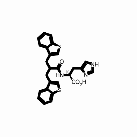 O=C(N[C@@H](Cc1c[nH]cn1)C(=O)O)C(Cc1csc2ccccc12)Cc1csc2ccccc12